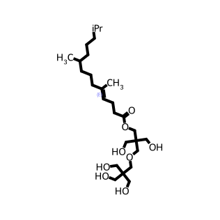 C/C(=C\CCC(=O)OCC(CO)(CO)COCC(CO)(CO)CO)CCCC(C)CCCC(C)C